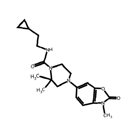 Cn1c(=O)oc2cc(N3CCN(C(=O)NCCC4CC4)C(C)(C)C3)ccc21